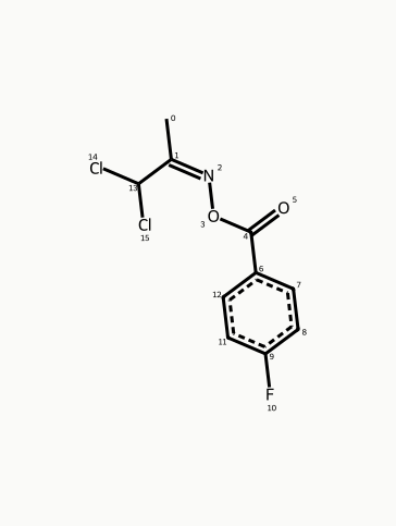 CC(=NOC(=O)c1ccc(F)cc1)C(Cl)Cl